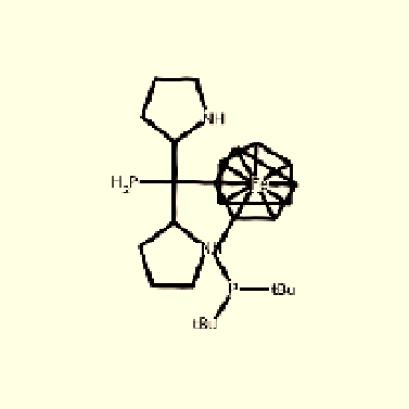 CC(C)(C)P(C[C]12[CH]3[CH]4[CH]5[C]1(C(P)(C1CCCN1)C1CCCN1)[Fe]43521678[CH]2[CH]1[CH]6[CH]7[CH]28)C(C)(C)C